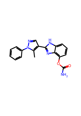 Cc1c(-c2nc3c(OC(N)=O)cccc3[nH]2)cnn1-c1ccccc1